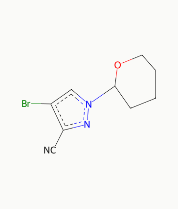 N#Cc1nn(C2CCCCO2)cc1Br